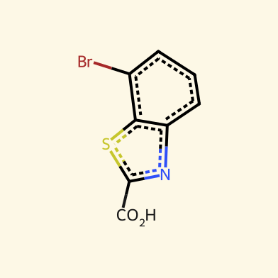 O=C(O)c1nc2cccc(Br)c2s1